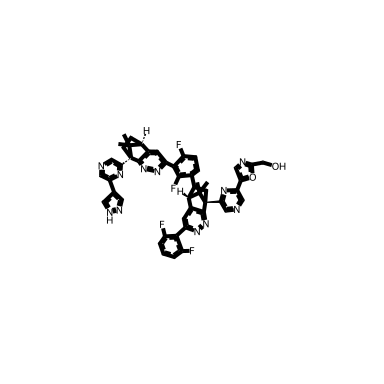 CC1(C)[C@@H]2c3cc(-c4c(F)cccc4F)nnc3[C@@]1(c1cncc(-c3cnc(CO)o3)n1)CC2c1ccc(F)c(-c2cc3c(nn2)[C@@]2(c4cncc(-c5cn[nH]c5)n4)CC[C@@H]3C2(C)C)c1F